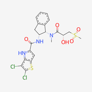 CN(C(=O)[C@@H](O)CS(C)(=O)=O)[C@H]1c2ccccc2C[C@H]1NC(=O)c1cc2sc(Cl)c(Cl)c2[nH]1